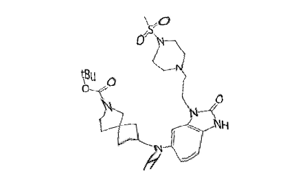 CC(C)(C)OC(=O)N1CCC2(CC(Nc3ccc4[nH]c(=O)n(CCN5CCN(S(C)(=O)=O)CC5)c4c3)C2)C1